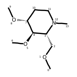 COC[C@@H]1[C@@H](OC)[C@H](OC)CCN1C